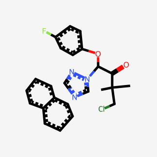 CC(C)(CCl)C(=O)C(Oc1ccc(F)cc1)n1cncn1.c1ccc2ccccc2c1